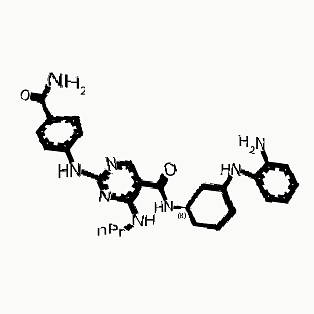 CCCNc1nc(Nc2ccc(C(N)=O)cc2)ncc1C(=O)N[C@@H]1CCCC(Nc2ccccc2N)C1